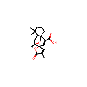 CC1=C[C@@]2(C=C(C(=O)O)[C@@]34CCCC(C)(C)C3C[C@@H]2OC4)OC1=O